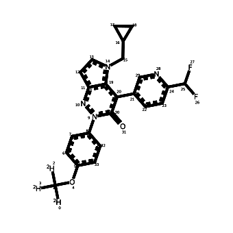 [2H]C([2H])([2H])Oc1ccc(-n2nc3ccn(CC4CC4)c3c(-c3ccc(C(F)F)nc3)c2=O)cc1